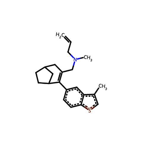 C=CCN(C)CC1=C(c2ccc3scc(C)c3c2)C2CCC(C1)C2